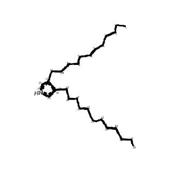 CCCCCCCCCCCCc1c[nH]cc1CCCCCCCCCCCC